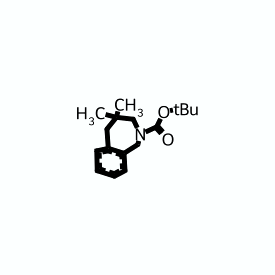 CC1(C)Cc2ccccc2CN(C(=O)OC(C)(C)C)C1